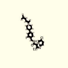 CCc1nc2ccc(Cl)cn2c1C(=O)NCc1ccc(C2CCN(/C(C)=C/C=C(C)C)CC2)cc1F